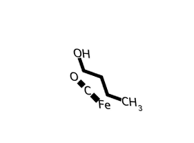 CCCCO.O=[C]=[Fe]